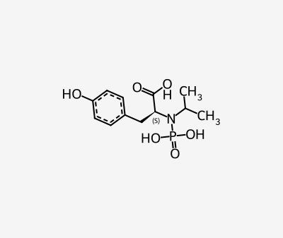 CC(C)N([C@@H](Cc1ccc(O)cc1)C(=O)O)P(=O)(O)O